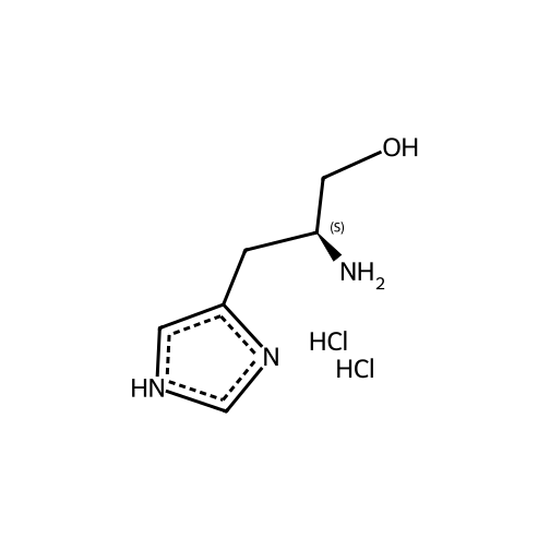 Cl.Cl.N[C@H](CO)Cc1c[nH]cn1